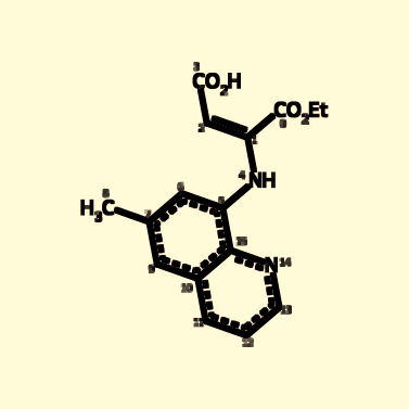 CCOC(=O)C(=CC(=O)O)Nc1cc(C)cc2cccnc12